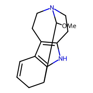 COC1C2CC=Cc3c2[nH]c2c3CCN1CC2